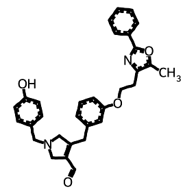 Cc1oc(-c2ccccc2)nc1CCOc1cccc(CC2=C(C=O)CN(Cc3ccc(O)cc3)C2)c1